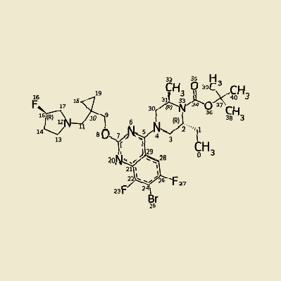 CC[C@@H]1CN(c2nc(OCC3(CN4CC[C@@H](F)C4)CC3)nc3c(F)c(Br)c(F)cc23)C[C@@H](C)N1C(=O)OC(C)(C)C